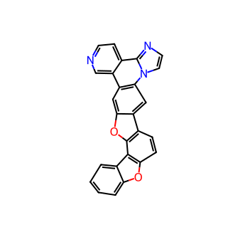 c1ccc2c(c1)oc1ccc3c4cc5c(cc4oc3c12)c1cnccc1c1nccn51